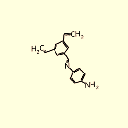 C=Cc1cc(C=C)cc(C=Nc2ccc(N)cc2)c1